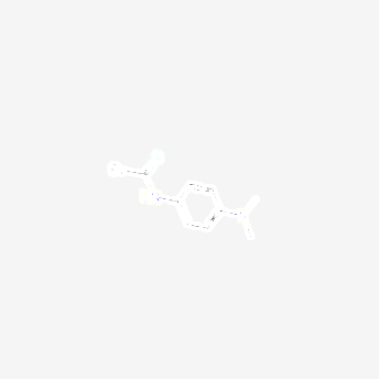 CC(C)C(=O)Nc1ccc(N(C)C)cc1